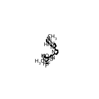 CN1C(=O)[C@](O)(c2cc(-c3cccc(-c4ccnc(Nc5ccn(C)n5)n4)n3)no2)C[C@H]1C(F)(F)F